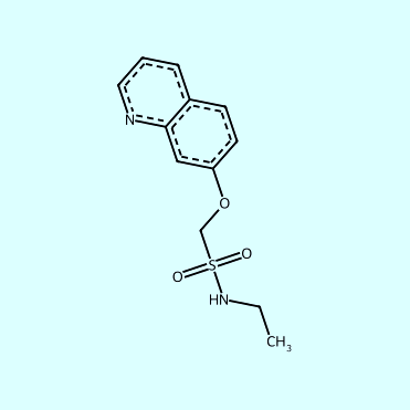 CCNS(=O)(=O)COc1ccc2cccnc2c1